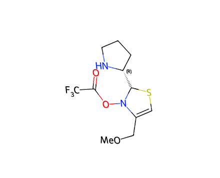 COCC1=CSC([C@H]2CCCN2)N1OC(=O)C(F)(F)F